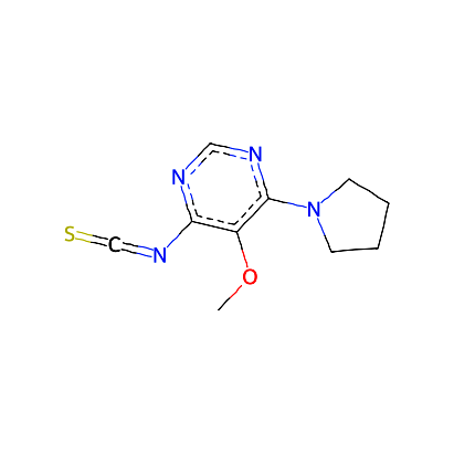 COc1c(N=C=S)ncnc1N1CCCC1